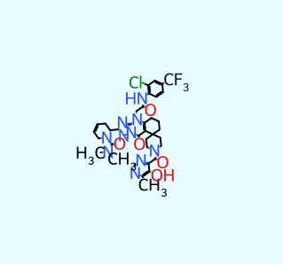 Cc1ncnc(C(=O)N2CCC3(CCCc4c3c(=O)n3nc(C5CC=CCN5C(=O)N(C)C)nc3n4CC(=O)Nc3ccc(C(F)(F)F)cc3Cl)CC2)c1O